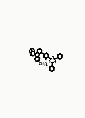 Cc1cc(-c2cccc3c2-c2cc(C#N)ccc2C32C3CC4CC(C3)CC2C4)ccc1-c1nc(-c2ccccc2)nc(-c2ccccc2)n1